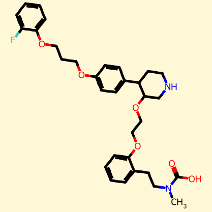 CN(CCc1ccccc1OCCOC1CNCCC1c1ccc(OCCCOc2ccccc2F)cc1)C(=O)O